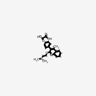 Cc1c(-c2ccccc2)c(OCCN(C)C)nc2ccccc12.O=C(O)C(=O)O